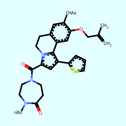 C=C(C)COc1cc2c(cc1OC)CCn1c(C(=O)N3CCC(=O)N(CCCC)CC3)cc(-c3cccs3)c1-2